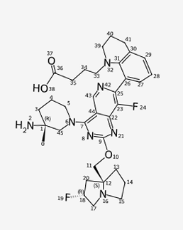 C[C@@]1(N)CCCN(c2nc(OC[C@@]34CCCN3C[C@H](F)C4)nc3c(F)c(-c4cccc5c4N(CCCC(=O)O)CCC5)ncc23)C1